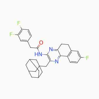 O=C(Cc1ccc(F)c(F)c1)Nc1nc2c(nc1CC13CC4CC(CC(C4)C1)C3)-c1ccc(F)cc1CC2